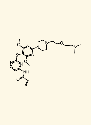 C=CC(=O)Nc1ccnc(Sc2c(OC)nc(N3CCN(CCOCCN(C)C)CC3)nc2OC)n1